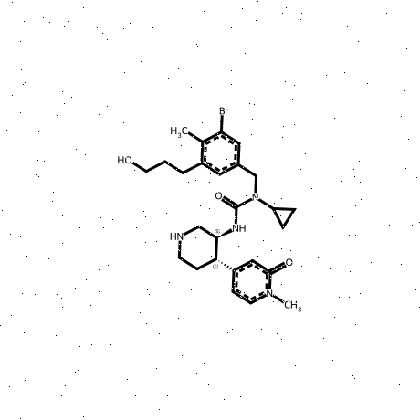 Cc1c(Br)cc(CN(C(=O)N[C@@H]2CNCC[C@H]2c2ccn(C)c(=O)c2)C2CC2)cc1CCCO